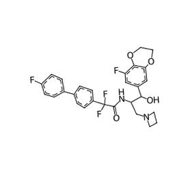 O=C(NC(CN1CCC1)C(O)c1cc(F)c2c(c1)OCCO2)C(F)(F)c1ccc(-c2ccc(F)cc2)cc1